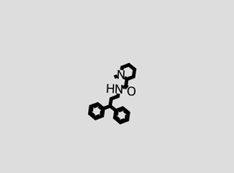 CN1CCCCC1C(=O)NCCC(c1ccccc1)c1ccccc1